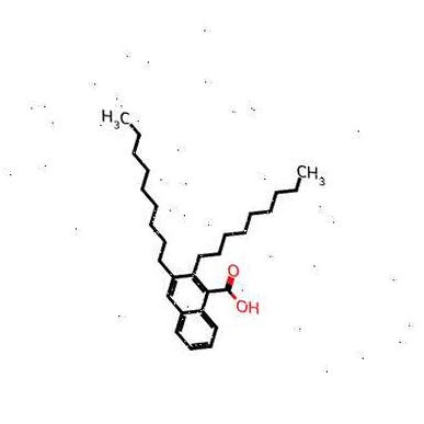 CCCCCCCCCc1cc2ccccc2c(C(=O)O)c1CCCCCCCCC